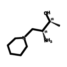 C[C@@H](O)[C@H](N)CN1CCCCC1